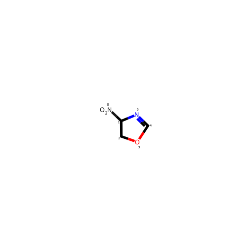 O=[N+]([O-])C1CO[C]=N1